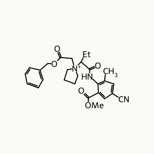 CCC(C(=O)Nc1c(C)cc(C#N)cc1C(=O)OC)[N+]1(CC(=O)OCc2ccccc2)CCCC1